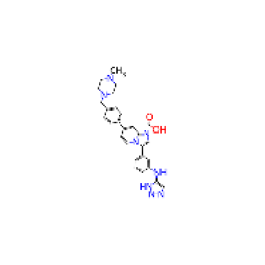 CN1CCN(Cc2ccc(-c3ccn4c(-c5cccc(Nc6cnn[nH]6)c5)cnc4c3)cc2)CC1.O=CO